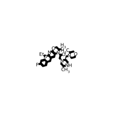 CCOc1nc2c(cc1Cc1ccc(F)cc1)N(C(=O)CN1C[C@@H](C)NC[C@@H]1CN1CCOC[C@H]1C)C(C)CO2